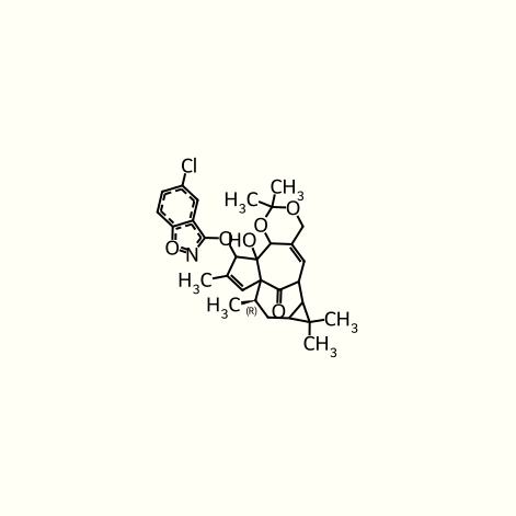 CC1=CC23C(=O)C(C=C4COC(C)(C)OC4C2(O)C1Oc1noc2ccc(Cl)cc12)C1C(C[C@H]3C)C1(C)C